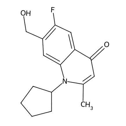 Cc1cc(=O)c2cc(F)c(CO)cc2n1C1CCCC1